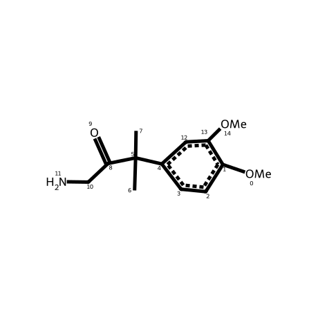 COc1ccc(C(C)(C)C(=O)CN)cc1OC